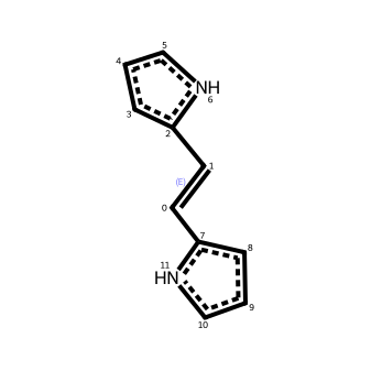 C(=C\c1ccc[nH]1)/c1ccc[nH]1